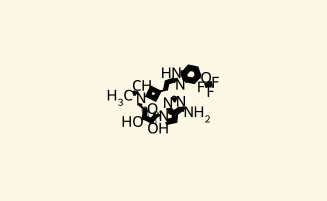 CC(C)N(C[C@H]1O[C@@H](n2ccc3c(N)ncnc32)[C@@H](O)[C@H]1O)[C@H]1C[C@H](CCc2nc3cc(OC(F)(F)F)ccc3[nH]2)C1